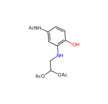 CC(=O)Nc1ccc(O)c(NCC(OC(C)=O)OC(C)=O)c1